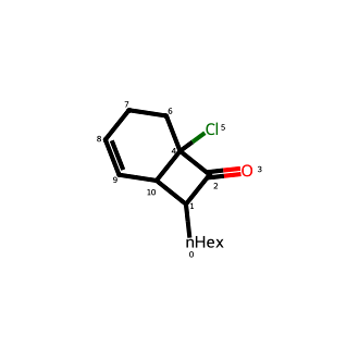 CCCCCCC1C(=O)C2(Cl)CCC=CC12